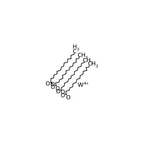 CCCCCCCCCCCCCCCC(=O)[O-].CCCCCCCCCCCCCCCC(=O)[O-].CCCCCCCCCCCCCCCC(=O)[O-].CCCCCCCCCCCCCCCC(=O)[O-].[W+4]